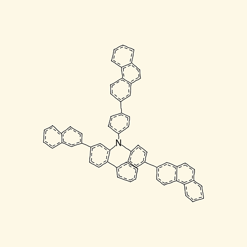 c1ccc(-c2ccc(-c3ccc4ccccc4c3)cc2N(c2ccc(-c3ccc4c(ccc5ccccc54)c3)cc2)c2ccc(-c3ccc4c(ccc5ccccc54)c3)cc2)cc1